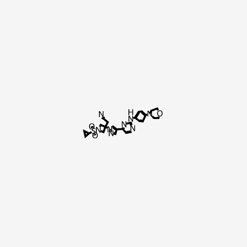 N#CCC1(n2cc(-c3ccnc(Nc4ccc(N5CCOCC5)cc4)n3)cn2)CN(S(=O)(=O)C2CC2)C1